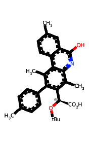 Cc1ccc(-c2c([C@H](OC(C)(C)C)C(=O)O)c(C)c3nc(O)c4cc(C)ccc4c3c2C)cc1